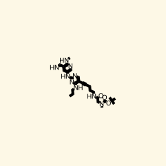 CCCNc1nc(Nc2cnc(NC)c(C=N)c2)ncc1C#CCCCNC(=O)CN(C)C(=O)OC(C)(C)C